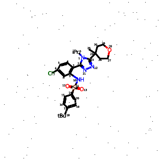 CC(C)n1c(-c2ccc(Cl)cc2NS(=O)(=O)c2ccc(C(C)(C)C)cc2)nnc1C1(C)CCOCC1